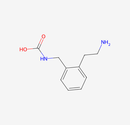 NCCc1ccccc1CNC(=O)O